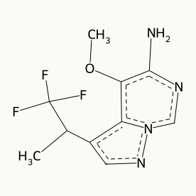 COc1c(N)ncn2ncc(C(C)C(F)(F)F)c12